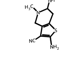 CCCC1Cc2sc(N)c(C#N)c2CN1C